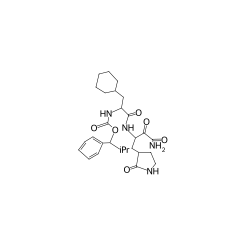 CC(C)C(OC(=O)NC(CC1CCCCC1)C(=O)NC(CC1CCNC1=O)C(=O)C(N)=O)c1ccccc1